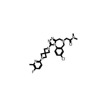 Cc1nc(N2CC3(C2)CN(c2nnc4n2-c2ccc(Cl)cc2CN(CC(=O)N(C)C)C4)C3)ccc1F